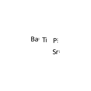 [Ba].[P].[Sr].[Ti]